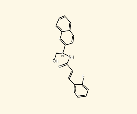 O=C(C=Cc1ccccc1F)N[C@@H](CO)c1ccc2ccccc2c1